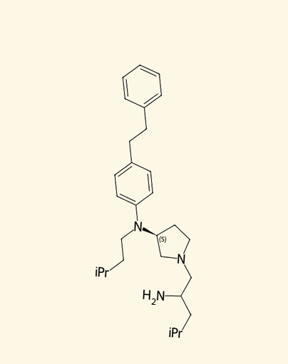 CC(C)CCN(c1ccc(CCc2ccccc2)cc1)[C@H]1CCN(CC(N)CC(C)C)C1